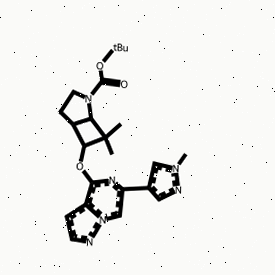 Cn1cc(-c2cn3nccc3c(OC3C4CCN(C(=O)OC(C)(C)C)C4C3(C)C)n2)cn1